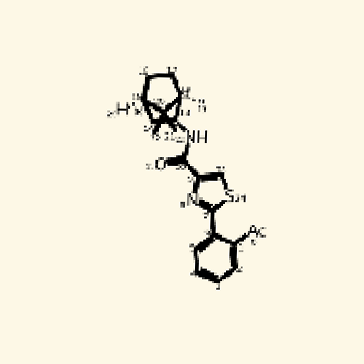 CC(=O)c1ccccc1-c1nc(C(=O)N[C@H]2C[C@H]3CC[C@]2(C)C3(C)C)cs1